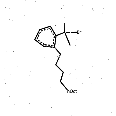 CCCCCCCCCCCCc1ccccc1C(C)(C)Br